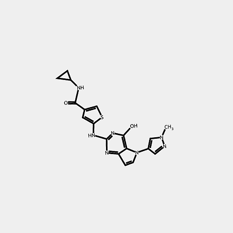 Cn1cc(-n2ccc3nc(Nc4cc(C(=O)NC5CC5)cs4)nc(O)c32)cn1